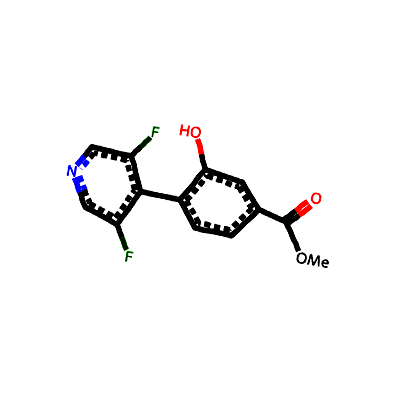 COC(=O)c1ccc(-c2c(F)cncc2F)c(O)c1